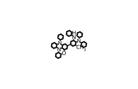 Cc1cc(-c2cc3c4c(c2)N(c2ccccc2)c2ccccc2N4c2ccccc2O3)cc(Nc2ccccc2)c1N(c1ccccc1)c1ccccc1